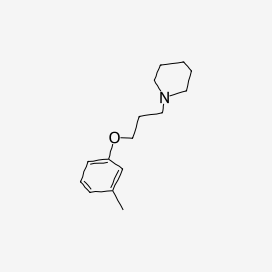 Cc1cccc(OCCCN2CCCCC2)c1